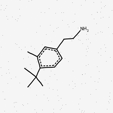 Cc1cc(CCN)ccc1C(C)(C)C